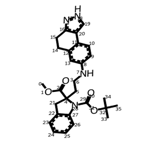 COC(=O)C1(CCNc2ccc3c(c2)CCc2n[nH]cc2-3)Cc2ccccc2N1C(=O)OC(C)(C)C